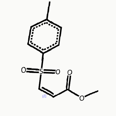 COC(=O)/C=C\S(=O)(=O)c1ccc(C)cc1